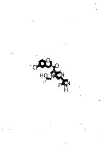 C[C@H](O)Cn1cc(C(=O)[C@@H]2COc3ccc(Cl)cc3C2)c2cnc(-c3cn[nH]c3F)cc21